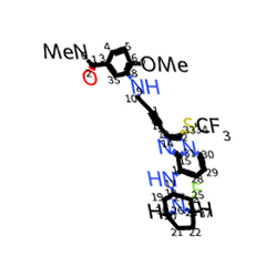 CNC(=O)c1ccc(OC)c(NCC#Cc2nc3c(N[C@@H]4C[C@H]5CC[C@@H]([C@@H]4F)N5C)cccn3c2SC(F)(F)F)c1